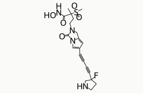 CC(CCN1Cc2cc(C#CC#CC3(F)CCNC3)cn2C1=O)(C(=O)NO)S(C)(=O)=O